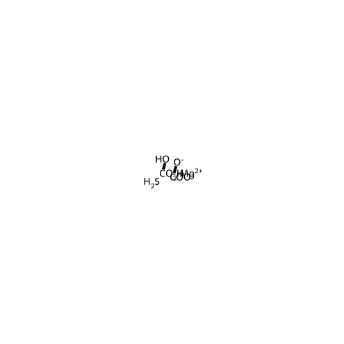 O=C(O)O.O=C([O-])[O-].S.[Mg+2]